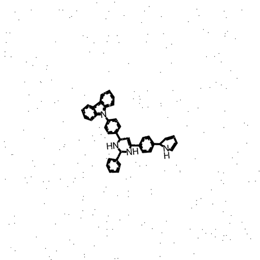 C1=CNC(c2ccc(C3=CC(c4ccc(-n5c6ccccc6c6ccccc65)cc4)NC(c4ccccc4)N3)cc2)C=C1